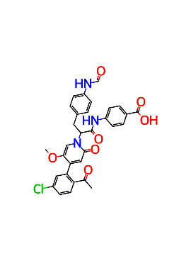 COc1cn(C(Cc2ccc(NC=O)cc2)C(=O)Nc2ccc(C(=O)O)cc2)c(=O)cc1-c1cc(Cl)ccc1C(C)=O